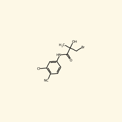 CC(O)(CBr)C(=O)Nc1ccc(C#N)c(Cl)c1